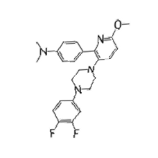 COc1ccc(N2CCN(c3ccc(F)c(F)c3)CC2)c(-c2ccc(N(C)C)cc2)n1